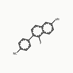 CCCc1ccc2c(F)c(-c3ccc(C#N)cc3)ccc2c1